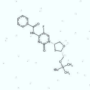 CC(C)(C)[Si](C)(C)OC[C@H]1OC[C@@H](n2cc(F)c(NC(=O)c3ccccc3)nc2=O)S1